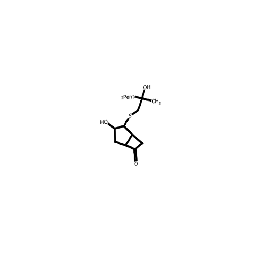 CCCCCC(C)(O)CSC1C(O)CC2C(=O)CC21